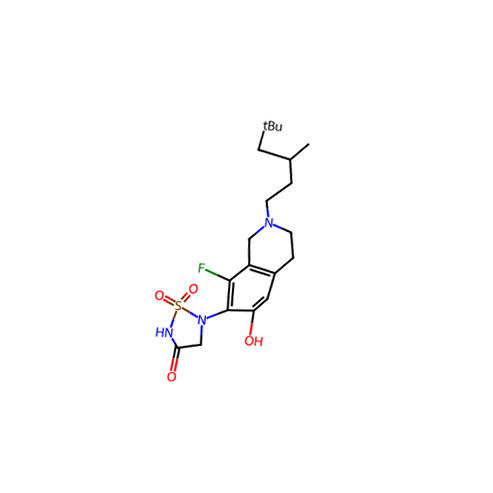 CC(CCN1CCc2cc(O)c(N3CC(=O)NS3(=O)=O)c(F)c2C1)CC(C)(C)C